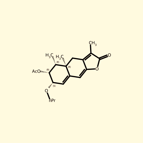 CCCO[C@H]1C=C2C=C3OC(=O)C(C)=C3C[C@]2(C)[C@@H](C)[C@H]1OC(C)=O